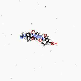 CCC(NC(C)N1C(=O)c2cccc3c(CCO)ccc(c23)C1=O)N(C(C)C)C(C)N1C(=O)c2cccc3c(-n4ccnc4)ccc(c23)C1=O